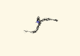 C=CC(=O)OCCCCCCOc1ccc(OOCC2CCC(C(=O)Oc3ccc(OOCC4CCC(C(=O)Oc5ccc(OCCCCCCOC(=O)C=C)cc5)CC4)c(/C=N/N(CCC)c4nc5ccccc5s4)c3)CC2)cc1